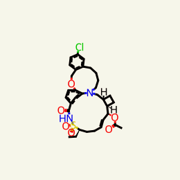 CC[C@@H]1CC/C=C/[C@H](OC(C)=O)[C@@H]2CC[C@H]2CN2CCCCc3cc(Cl)ccc3COc3ccc(cc32)C(=O)NS1(=O)=O